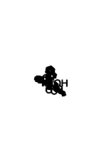 C=CCOC(=O)C(O)N1C(=O)[C@H]([C@@H](C)O[Si](C)(C)C(C)(C)C)[C@H]1[C@H]1CCc2ccccc2C1=O